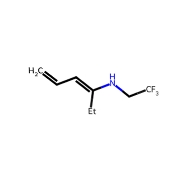 C=C/C=C(\CC)NCC(F)(F)F